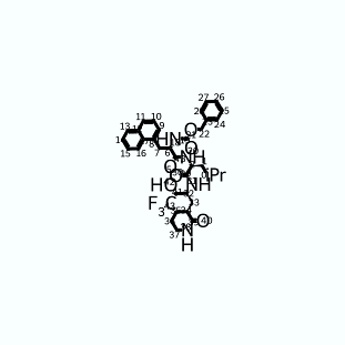 CC(C)C[C@H](NC(=O)C(Cc1cccc2ccccc12)NC(=O)OCc1ccccc1)C(=O)N[C@@H](C[C@@H]1CCCNC1=O)C(O)C(F)(F)F